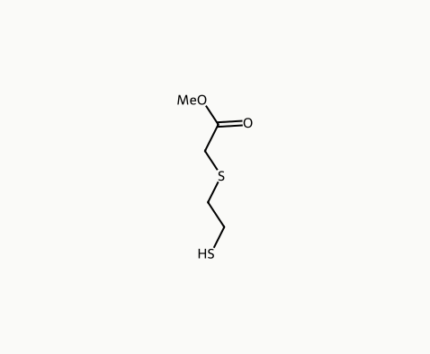 COC(=O)CSCCS